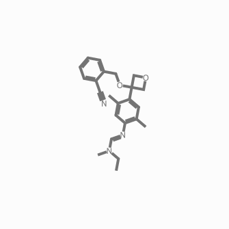 CCN(C)C=Nc1cc(C)c(C2(OCc3ccccc3C#N)COC2)cc1C